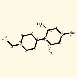 C[C@@H]1CN(C(C)(C)C)C[C@H](C)N1C1CCN(CC(C)(C)C)CC1